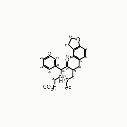 CC(=O)SCC(Cc1ccc2c(c1)CCO2)C(=O)C(NCC(=O)O)c1ccccc1